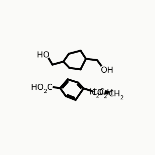 C=C.O=C(O)c1ccc(C(=O)O)cc1.OCC1CCC(CO)CC1